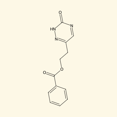 O=C(OCCc1cnc(=O)[nH]n1)c1ccccc1